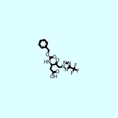 O=C(O)CC(NC(=O)OCc1ccccc1)C(=O)Cn1nnc(C(F)(F)F)n1